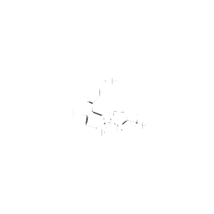 CCCC(=O)C1=CC(O)(N2CCC(C(F)(F)F)=N2)CC=C1O